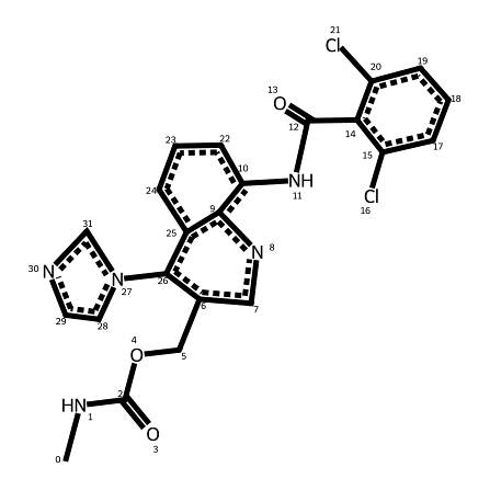 CNC(=O)OCc1cnc2c(NC(=O)c3c(Cl)cccc3Cl)cccc2c1-n1ccnc1